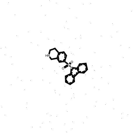 O=S(=O)(c1ccc2c(c1)CNCC2)n1c2ccccc2c2ccccc21